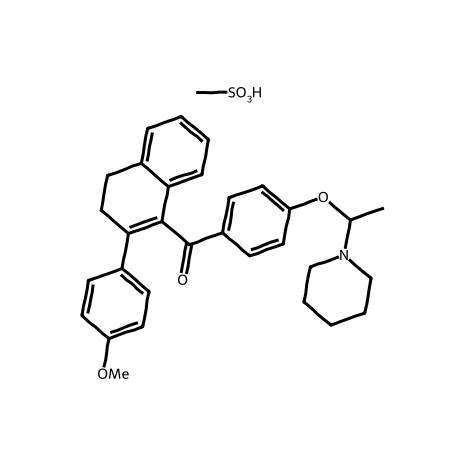 COc1ccc(C2=C(C(=O)c3ccc(OC(C)N4CCCCC4)cc3)c3ccccc3CC2)cc1.CS(=O)(=O)O